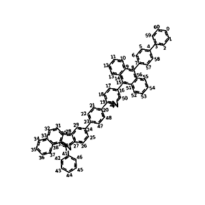 c1ccc(-c2ccc(-c3c4ccccc4c(-c4ccc(-c5ccc(-c6ccc7c(c6)c6ccc8ccccc8c6n7-c6ccccc6)cc5)nc4)c4ccccc34)cc2)cc1